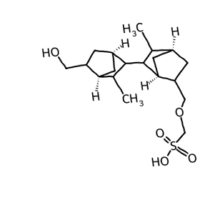 CC1C(C2C(C)[C@@H]3C[C@H]2CC3CO)[C@H]2C[C@@H]1CC2COCS(=O)(=O)O